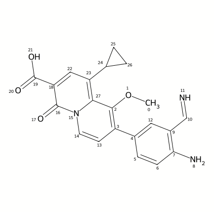 COc1c(-c2ccc(N)c(C=N)c2)ccn2c(=O)c(C(=O)O)cc(C3CC3)c12